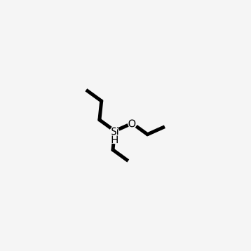 CCC[SiH](CC)OCC